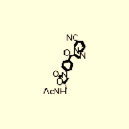 CC(=O)NC[C@H]1CN(c2ccc(C(=O)c3cnc4ccc(C#N)cn34)cc2)C(=O)O1